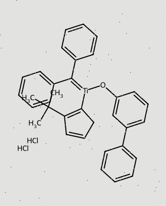 CC(C)(C)C1=[C]([Ti]([O]c2cccc(-c3ccccc3)c2)=[C](c2ccccc2)c2ccccc2)CC=C1.Cl.Cl